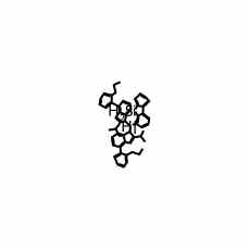 CCCc1ccccc1-c1cccc2c1C=C(C(C)C)[CH]2[Hf]([c]1cccc2c1[SiH2]c1ccccc1-2)[CH]1C(C(C)C)=Cc2c(-c3ccccc3CCC)cccc21